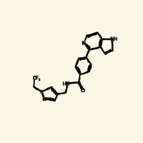 O=C(NCc1cnn(CC(F)(F)F)c1)c1ccc(-c2nccc3[nH]ccc23)cc1